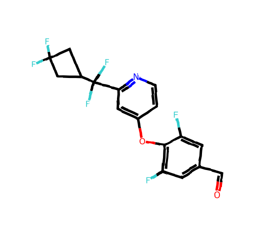 O=Cc1cc(F)c(Oc2ccnc(C(F)(F)C3CC(F)(F)C3)c2)c(F)c1